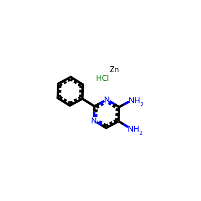 Cl.Nc1cnc(-c2ccccc2)nc1N.[Zn]